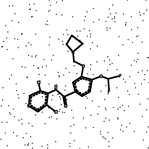 O=C(Nc1c(Cl)cncc1Cl)c1ccc(OC(F)F)c(OCC2CCC2)c1